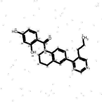 CCCc1cncnc1-c1ccc2c(c1)CCCN2C(=O)c1ccc(O)cc1O